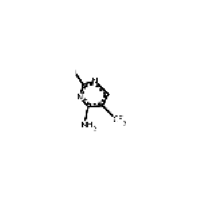 Nc1nc(I)ncc1C(F)(F)F